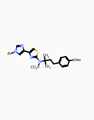 COc1ccc(CCC(C)(C)N(C(=O)O)c2nc(-c3cn(C(C)C)cn3)cs2)cc1